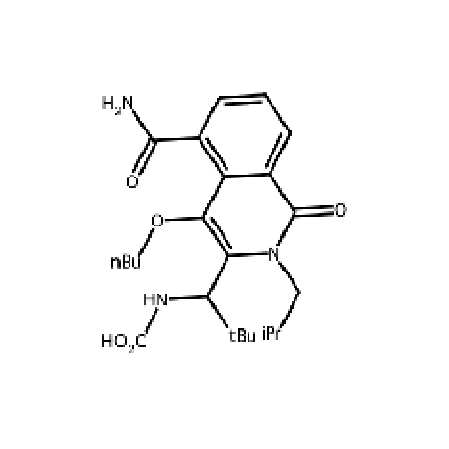 CCCCOc1c(C(NC(=O)O)C(C)(C)C)n(CC(C)C)c(=O)c2cccc(C(N)=O)c12